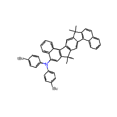 CC(C)(C)c1ccc(N(c2ccc(C(C)(C)C)cc2)c2cc3c(c4ccccc24)-c2cc4c(cc2C3(C)C)-c2c(ccc3ccccc23)C4(C)C)cc1